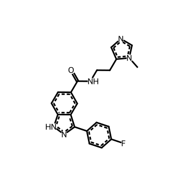 Cn1cncc1CCNC(=O)c1ccc2[nH]nc(-c3ccc(F)cc3)c2c1